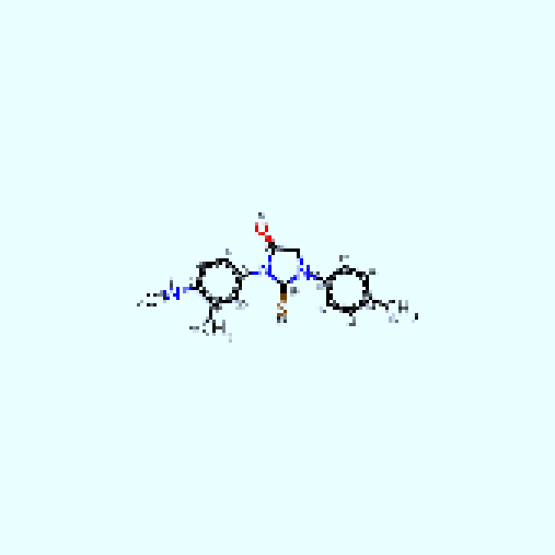 [C-]#[N+]c1ccc(N2C(=O)CN(c3ccc(C)cc3)C2=S)cc1C